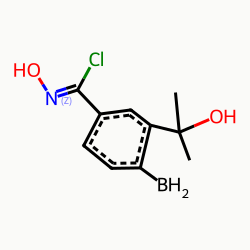 Bc1ccc(/C(Cl)=N/O)cc1C(C)(C)O